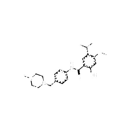 COc1cc(O)c(C(=S)Nc2ccc(CN3CCN(C)CC3)cc2)cc1C(C)C